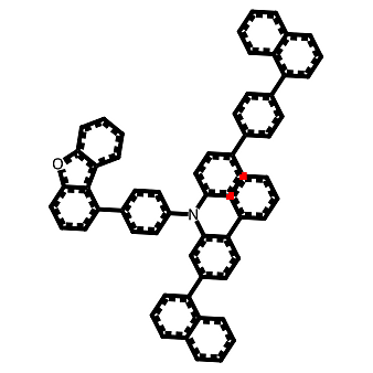 c1ccc(-c2ccc(-c3cccc4ccccc34)cc2N(c2ccc(-c3ccc(-c4cccc5ccccc45)cc3)cc2)c2ccc(-c3cccc4oc5ccccc5c34)cc2)cc1